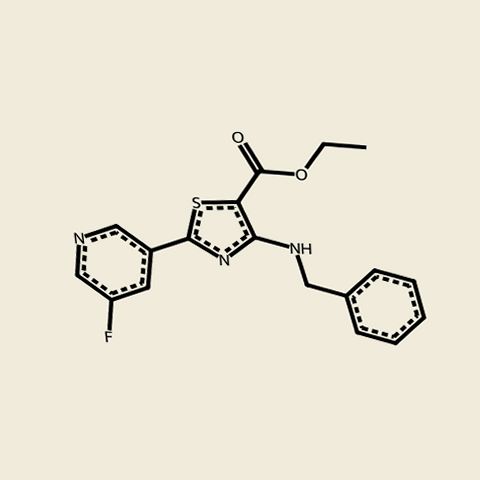 CCOC(=O)c1sc(-c2cncc(F)c2)nc1NCc1ccccc1